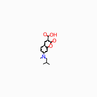 CC(C)CN(C)c1ccc2cc(C(=O)O)c(=O)oc2c1